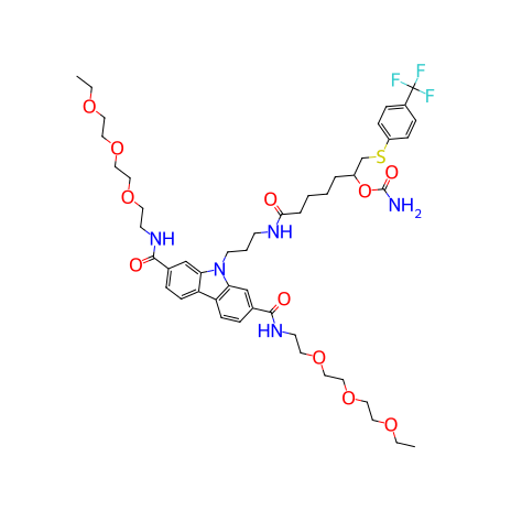 CCOCCOCCOCCNC(=O)c1ccc2c3ccc(C(=O)NCCOCCOCCOCC)cc3n(CCCNC(=O)CCCCC(CSc3ccc(C(F)(F)F)cc3)OC(N)=O)c2c1